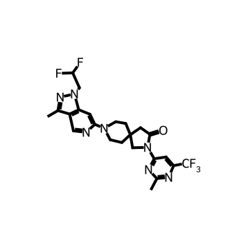 Cc1nc(N2CC3(CCN(c4cc5c(cn4)c(C)nn5CC(F)F)CC3)CC2=O)cc(C(F)(F)F)n1